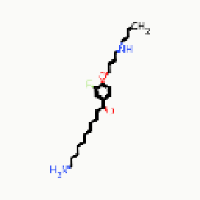 C=CCCNCC=CCOc1ccc(C(=O)CCCCCCCCCCN)cc1F